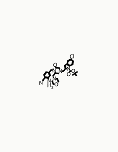 CC(C)(C)OC(=O)n1c(CN2CC(=O)N(Cc3ccc(C#N)c(N)c3)C(CN3CCOCC3)C2)cc2cc(Cl)ccc21